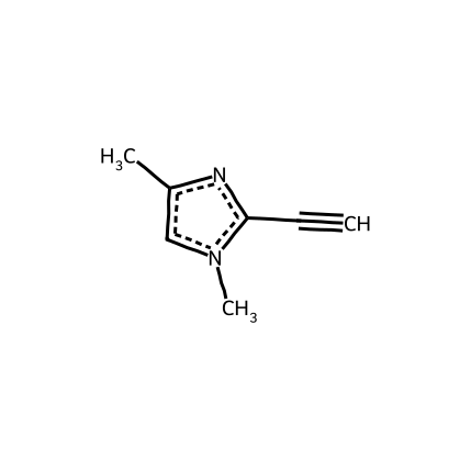 C#Cc1nc(C)cn1C